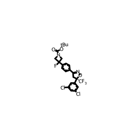 CC(C)(C)OC(=O)N1CC(F)(c2ccc(C3=NO[C@](c4cc(Cl)cc(Cl)c4)(C(F)(F)F)C3)cc2)C1